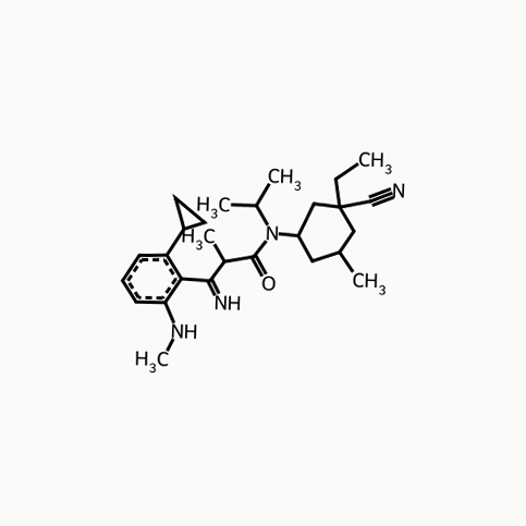 CCC1(C#N)CC(C)CC(N(C(=O)C(C)C(=N)c2c(NC)cccc2C2CC2)C(C)C)C1